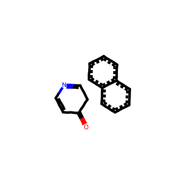 O=C1C=CN=CC1.c1ccc2ccccc2c1